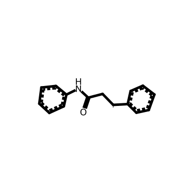 O=C(C[CH]c1ccccc1)Nc1ccccc1